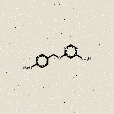 COc1ccc(COc2cc(C(=O)O)ccn2)cc1